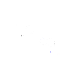 CC(=O)Oc1ccc(Cn2c(C)cc3c(NC(=O)CC(=O)O)ccc(C)c32)cc1C(C)C